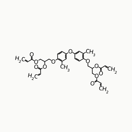 C=CC(=O)OCC(COc1ccc(Oc2ccc(OCC(COC(=O)C=C)OC(=O)C=C)c(C)c2)cc1C)OC(=O)C=C